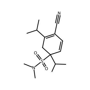 CC(C)C1=C(C#N)C=CC(C(C)C)(S(=O)(=O)N(C)C)C1